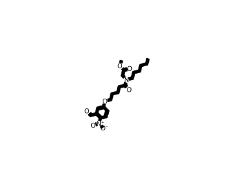 CCCCCCN(CC(=O)OC)C(=O)CCCCOc1ccc([N+](=O)[O-])c(C=O)c1